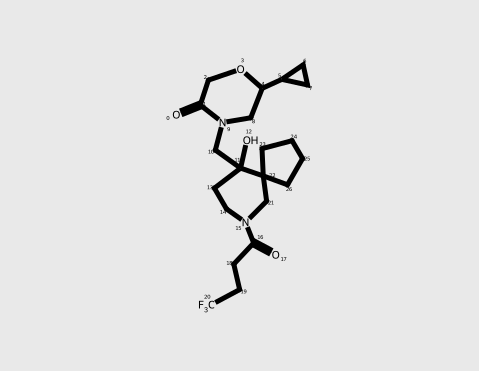 O=C1COC(C2CC2)CN1CC1(O)CCN(C(=O)CCC(F)(F)F)CC12CCCC2